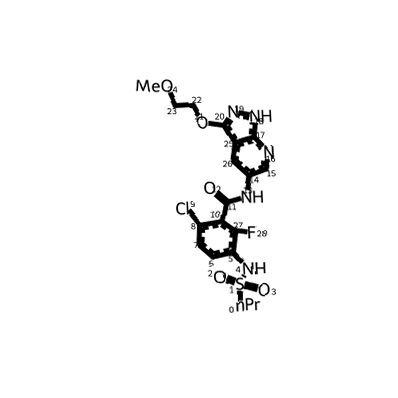 CCCS(=O)(=O)Nc1ccc(Cl)c(C(=O)Nc2cnc3[nH]nc(OCCOC)c3c2)c1F